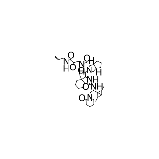 C=CCNC(=O)C(=O)CNC(=O)[C@@H]1[C@H]2CCC[C@H]2CN1C(=O)[C@@H](NC(=O)N[C@H](CN1CCCCC1=O)C12C(C)C1C2C)C1(C)CCCCC1